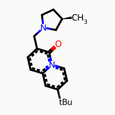 C[C@@H]1CCN(Cc2ccc3cc(C(C)(C)C)ccn3c2=O)C1